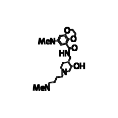 CNCCCCN1CC[C@@H](CNC(=O)c2cc(NC)cc3c2OCCO3)C(O)C1